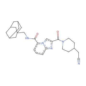 N#CCC1CCN(C(=O)c2cn3c(C(=O)NCC45CC6CC(CC(C6)C4)C5)cccc3n2)CC1